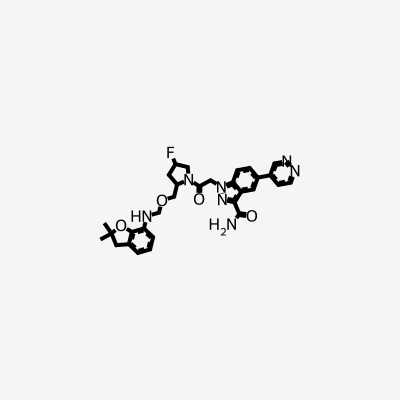 CC1(C)Cc2cccc(NCOCC3CC(F)CN3C(=O)Cn3nc(C(N)=O)c4cc(-c5ccnnc5)ccc43)c2O1